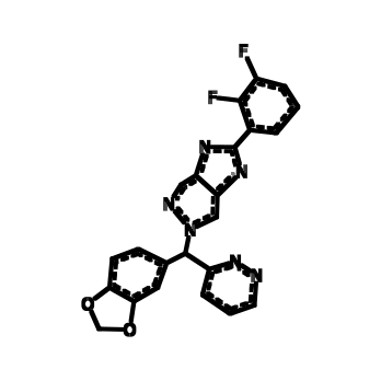 Fc1cccc(-c2nc3cnn(C(c4ccc5c(c4)OCO5)c4cccnn4)cc-3n2)c1F